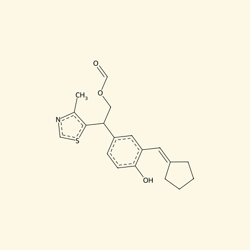 Cc1ncsc1C(COC=O)c1ccc(O)c(C=C2CCCC2)c1